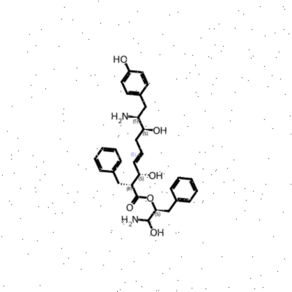 NC(O)[C@H](Cc1ccccc1)OC(=O)[C@H](Cc1ccccc1)[C@@H](O)/C=C/C[C@H](O)[C@@H](N)Cc1ccc(O)cc1